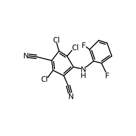 N#Cc1c(Cl)c(Cl)c(Nc2c(F)cccc2F)c(C#N)c1Cl